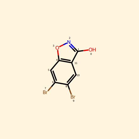 Oc1noc2cc(Br)c(Br)cc12